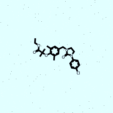 CCOC(=O)C(C)(C)Oc1c(C)cc(CN2CCN(c3ccc(Cl)cc3)C2=O)cc1C